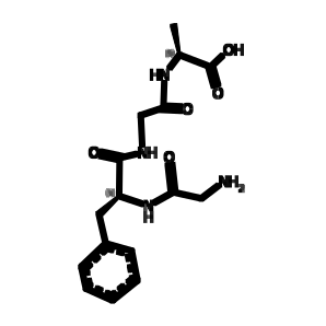 C[C@H](NC(=O)CNC(=O)[C@H](Cc1ccccc1)NC(=O)CN)C(=O)O